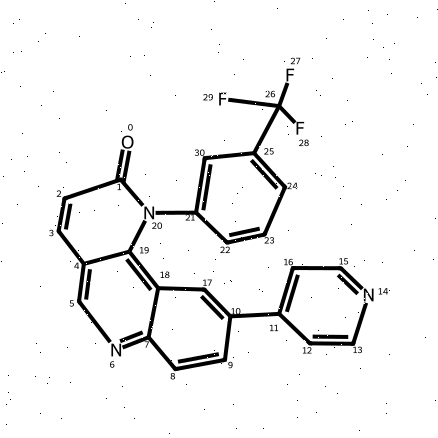 O=c1ccc2cnc3ccc(-c4ccncc4)cc3c2n1-c1cccc(C(F)(F)F)c1